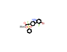 COC(=O)C(F)(C1CCc2c([nH]c3ccc(Br)c(F)c23)C1)S(=O)(=O)c1ccccc1